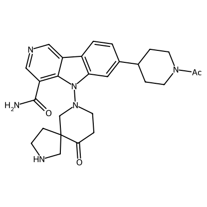 CC(=O)N1CCC(c2ccc3c4cncc(C(N)=O)c4n(N4CCC(=O)C5(CCNC5)C4)c3c2)CC1